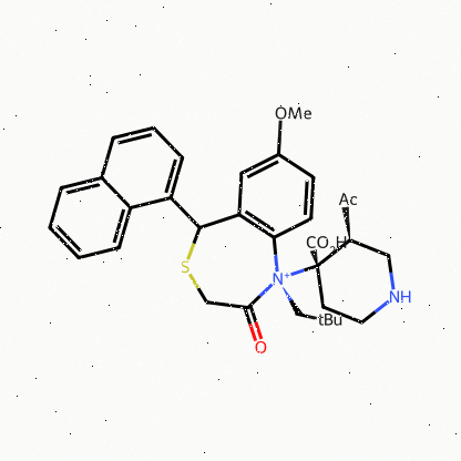 COc1ccc2c(c1)C(c1cccc3ccccc13)SCC(=O)[N@@+]2(CC(C)(C)C)[C@@]1(C(=O)O)CCNC[C@@H]1C(C)=O